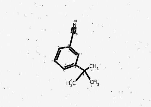 CC(C)(C)c1c[c]cc(C#N)c1